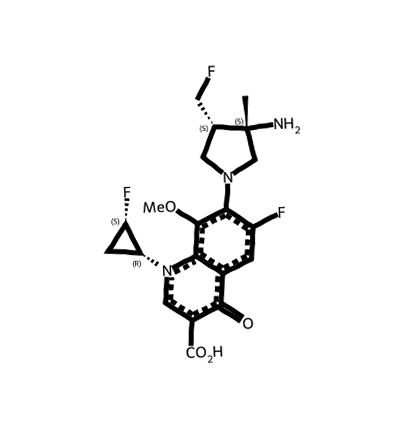 COc1c(N2C[C@H](CF)[C@](C)(N)C2)c(F)cc2c(=O)c(C(=O)O)cn([C@@H]3C[C@@H]3F)c12